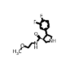 COCCNC(=O)[C@@H]1CNCC1c1ccc(F)c(F)c1